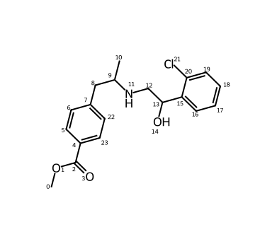 COC(=O)c1ccc(CC(C)NCC(O)c2ccccc2Cl)cc1